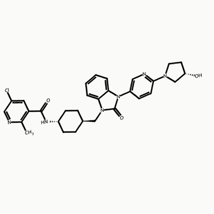 Cc1ncc(Cl)cc1C(=O)N[C@H]1CC[C@H](Cn2c(=O)n(-c3ccc(N4CC[C@H](O)C4)nc3)c3ccccc32)CC1